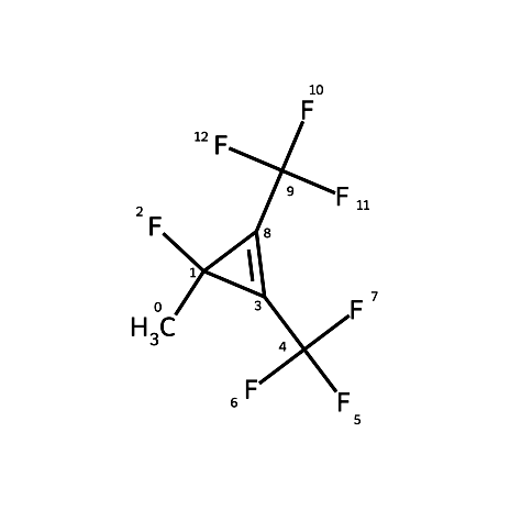 CC1(F)C(C(F)(F)F)=C1C(F)(F)F